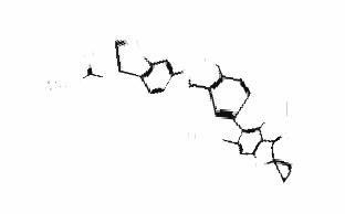 COC(=O)C[C@@H]1COc2cc(OCc3cc(-c4c(C)cc5c(c4C)C(=O)C4(CC4)O5)ccc3Cl)ccc21